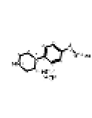 CCCCCCOc1ccc(N2CCNCC2)cc1.Cl.Cl